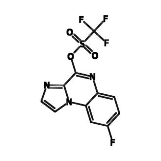 O=S(=O)(Oc1nc2ccc(F)cc2n2ccnc12)C(F)(F)F